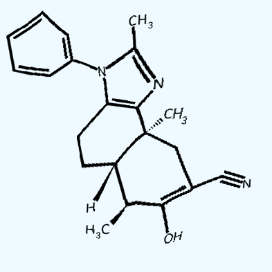 Cc1nc2c(n1-c1ccccc1)CC[C@H]1[C@H](C)C(O)=C(C#N)C[C@]21C